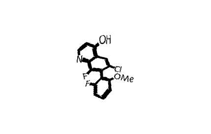 COc1cccc(F)c1-c1c(Cl)cc2c(O)ccnc2c1F